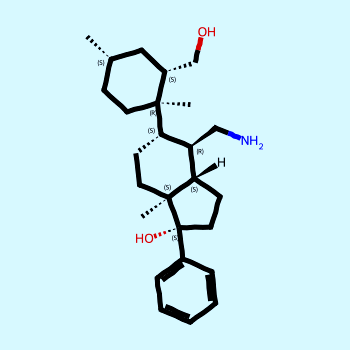 C[C@H]1CC[C@](C)([C@H]2CC[C@@]3(C)[C@@H](CC[C@@]3(O)c3ccccc3)[C@@H]2CN)[C@@H](CO)C1